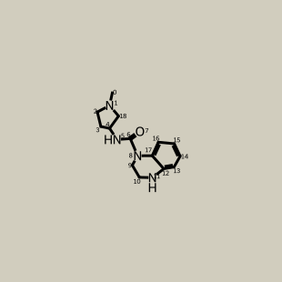 CN1CCC(NC(=O)N2CCNc3ccccc32)C1